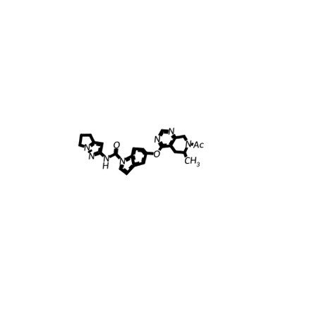 CC(=O)N1Cc2ncnc(Oc3ccc4c(ccn4C(=O)Nc4cc5n(n4)CCC5)c3)c2CC1C